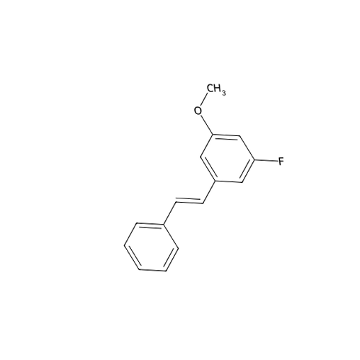 COc1cc(F)cc(C=Cc2ccccc2)c1